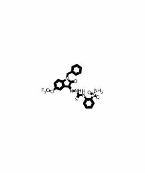 NS(=O)(=O)c1ccccc1NC(=S)NN=C1C(=O)N(Cc2ccccc2)c2ccc(OC(F)(F)F)cc21